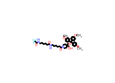 COc1ccc(C(OCC2(CO)CCN(C(=O)CCCCCNC(=O)CCCCCNC(=O)C(F)(F)F)CC2)(c2ccc(OC)cc2)c2ccc(OC)cc2)cc1